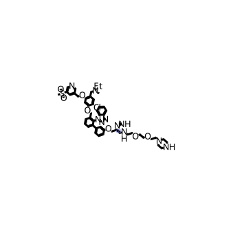 CCN(C)Cc1cc(Cl)c(OCc2cccc(-c3cccc(OC/C(=C/NCCOCCOCCN4CCNCC4)N=N)c3)c2-n2nnc3ccccc32)cc1OCc1cncc(S(C)(=O)=O)c1